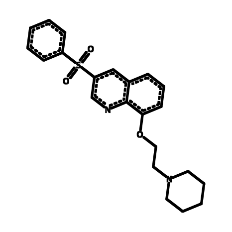 O=S(=O)(c1ccccc1)c1cnc2c(OCCN3CCCCC3)cccc2c1